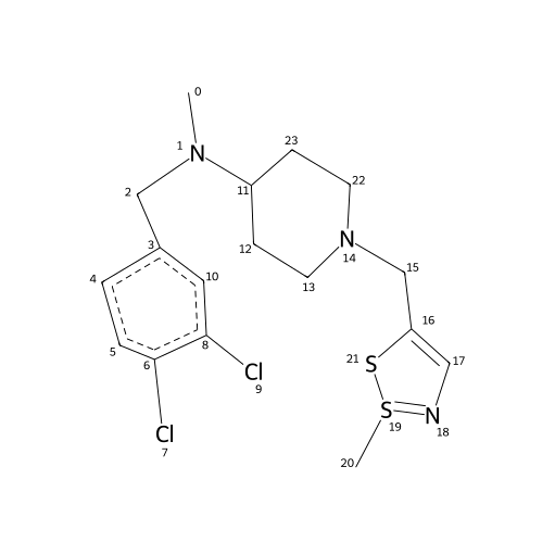 CN(Cc1ccc(Cl)c(Cl)c1)C1CCN(CC2=CN=S(C)S2)CC1